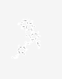 COc1ccc(COc2c(C#N)ncc(-c3ccc4cnccc4c3)c2C)cc1